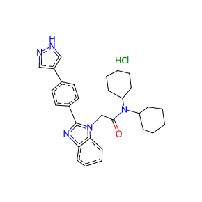 Cl.O=C(Cn1c(-c2ccc(-c3cn[nH]c3)cc2)nc2ccccc21)N(C1CCCCC1)C1CCCCC1